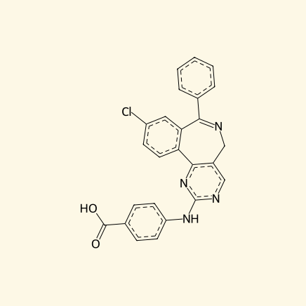 O=C(O)c1ccc(Nc2ncc3c(n2)-c2ccc(Cl)cc2C(c2ccccc2)=NC3)cc1